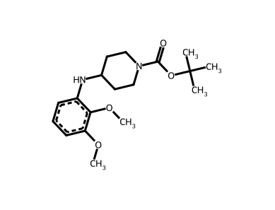 COc1cccc(NC2CCN(C(=O)OC(C)(C)C)CC2)c1OC